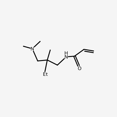 C=CC(=O)NCC(C)(CC)CN(C)C